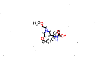 COCCN(CCOC)CCC(C)(C)NC(=O)O